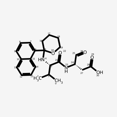 CC(C)[C@H](NC1(c2cccc3ccccc23)CCCCO1)C(=O)N[C@H](C=O)CC(=O)O